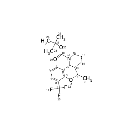 CC(Oc1ccccc1C(F)(F)F)C1CCCN(C(=O)OC(C)(C)C)C1